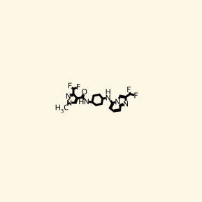 Cn1cc(C(=O)NC2CCC(Nc3cccc4nc(C(F)F)cn34)CC2)c(C(F)F)n1